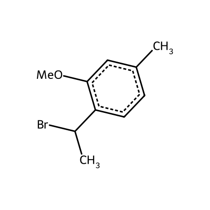 COc1cc(C)ccc1C(C)Br